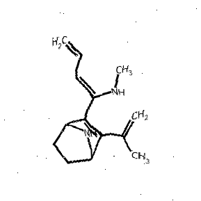 C=C/C=C(\NC)C1=C(C(=C)C)C2CCC1N2